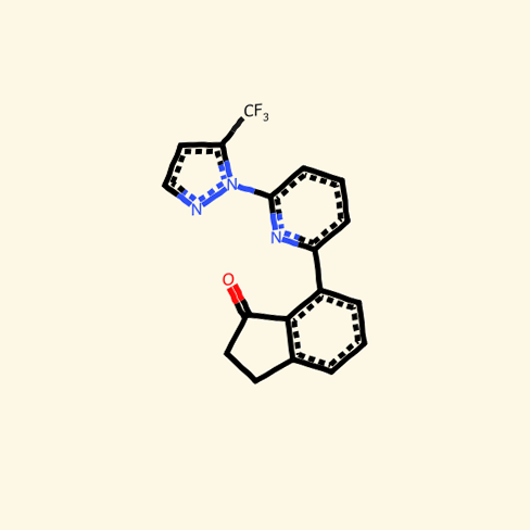 O=C1CCc2cccc(-c3cccc(-n4nccc4C(F)(F)F)n3)c21